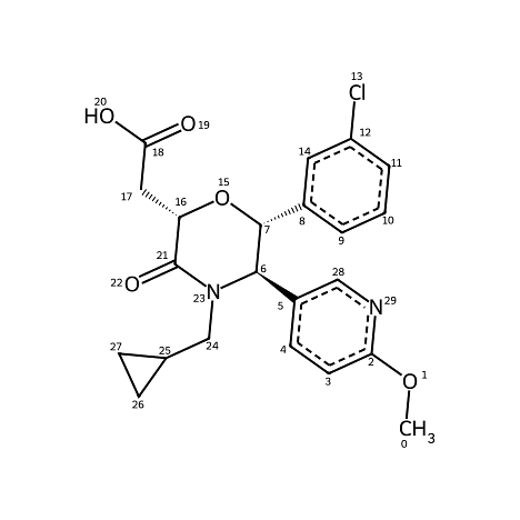 COc1ccc([C@@H]2[C@@H](c3cccc(Cl)c3)O[C@@H](CC(=O)O)C(=O)N2CC2CC2)cn1